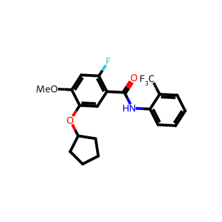 COc1cc(F)c(C(=O)Nc2ccccc2C(F)(F)F)cc1OC1CCCC1